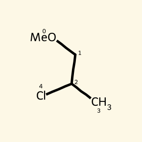 [CH2]OCC(C)Cl